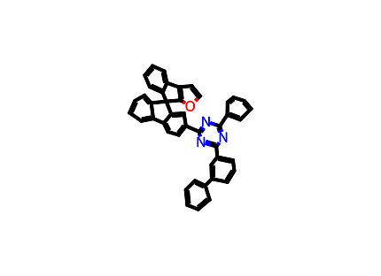 c1ccc(-c2cccc(-c3nc(-c4ccccc4)nc(-c4ccc5c(c4)C4(c6ccccc6-5)c5ccccc5-c5ccoc54)n3)c2)cc1